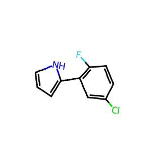 Fc1ccc(Cl)cc1-c1ccc[nH]1